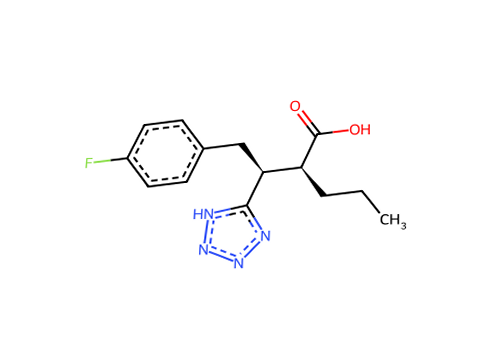 CCC[C@H](C(=O)O)[C@H](Cc1ccc(F)cc1)c1nnn[nH]1